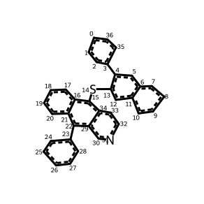 c1ccc(-c2cc3ccccc3cc2Sc2c3ccccc3c(-c3ccccc3)c3cnccc23)cc1